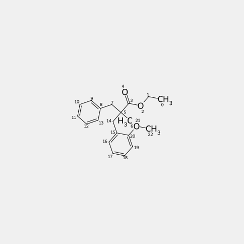 CCOC(=O)C(C)(Cc1ccccc1)Cc1ccccc1OC